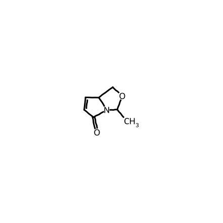 CC1OCC2C=CC(=O)N21